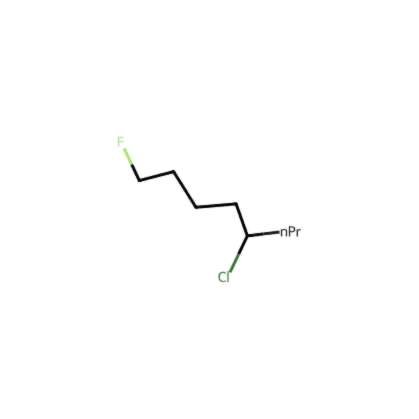 [CH2]CCC(Cl)CCCCF